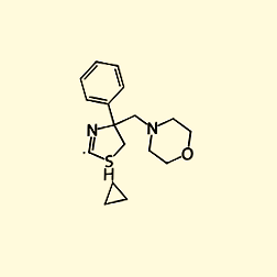 [C]1=NC(CN2CCOCC2)(c2ccccc2)C[SH]1C1CC1